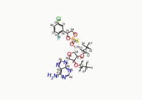 CC(C)(C)[Si](C)(C)O[C@@H]1[C@H](O[Si](C)(C)C(C)(C)C)[C@@H](COP2(=S)OCC(c3cc(Cl)ccc3F)O2)O[C@H]1n1cnc2c(N)ncnc21